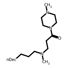 CCCCCCCCCCCCCN(C)CCC(=O)N1CCN(C)CC1